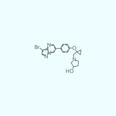 OC1CCN(CC2(Oc3ccc(-c4cnc5c(Br)cnn5c4)cc3)CC2)C1